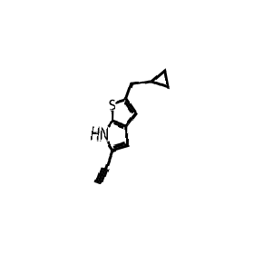 C#Cc1cc2cc(CC3CC3)sc2[nH]1